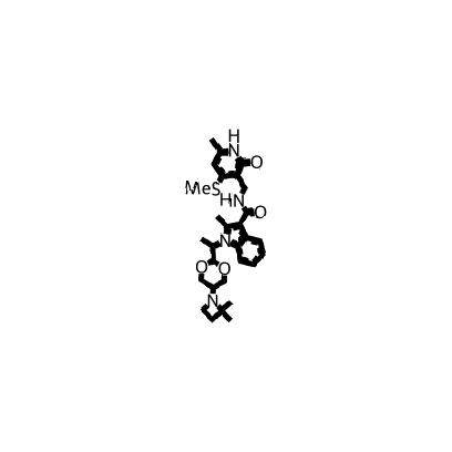 CSc1cc(C)[nH]c(=O)c1CNC(=O)c1c(C)n(C(C)C2OCC(N3CCC3(C)C)CO2)c2ccccc12